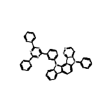 c1ccc(-c2nc(-c3ccccc3)nc(-c3cccc(-n4c5ccccc5c5ccc6c(c7nnccc7n6-c6ccccc6)c54)c3)n2)cc1